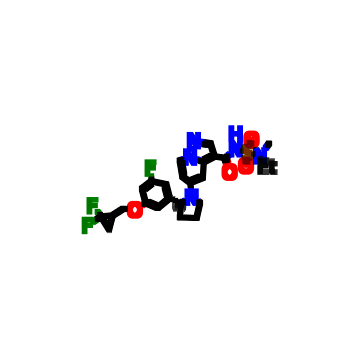 CCN(C)S(=O)(=O)NC(=O)c1cnn2ccc(N3CCC[C@@H]3c3cc(F)cc(OCC4CC4(F)F)c3)cc12